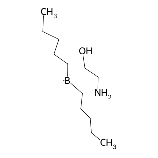 CCCCC[B]CCCCC.NCCO